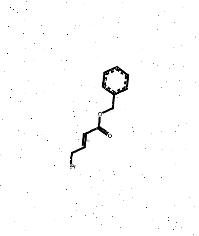 CC(C)C/C=C/C(=O)OCc1ccccc1